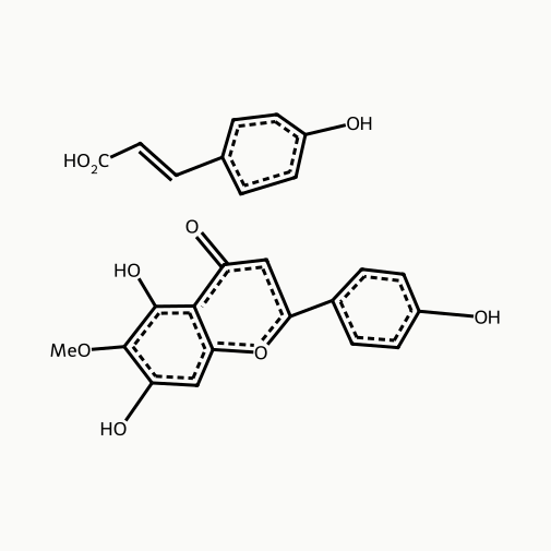 COc1c(O)cc2oc(-c3ccc(O)cc3)cc(=O)c2c1O.O=C(O)/C=C/c1ccc(O)cc1